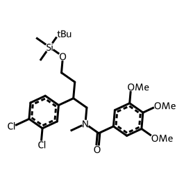 COc1cc(C(=O)N(C)CC(CCO[Si](C)(C)C(C)(C)C)c2ccc(Cl)c(Cl)c2)cc(OC)c1OC